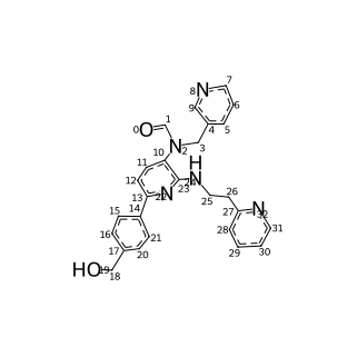 O=CN(Cc1cccnc1)c1ccc(-c2ccc(CO)cc2)nc1NCCc1ccccn1